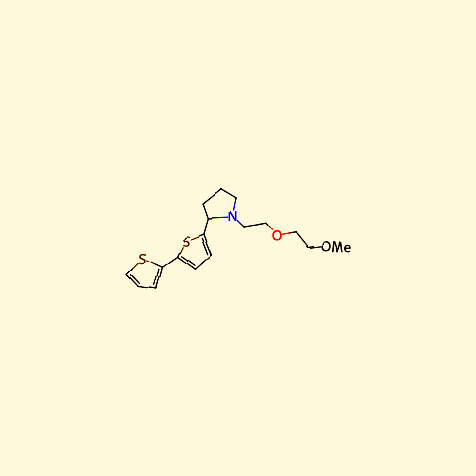 COCCOCCN1CCCC1c1ccc(-c2cccs2)s1